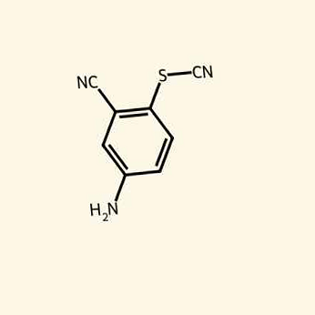 N#CSc1ccc(N)cc1C#N